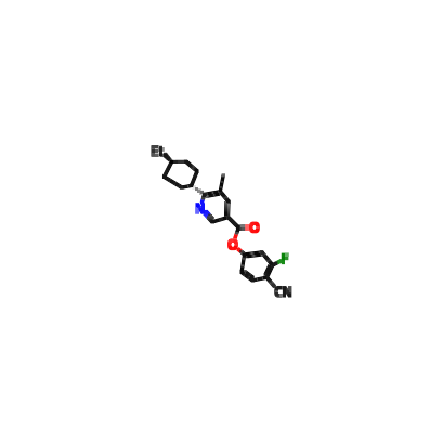 CC[C@H]1CC[C@H](c2ncc(C(=O)Oc3ccc(C#N)c(F)c3)cc2C)CC1